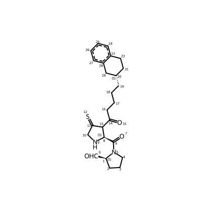 O=C[C@@H]1CCCN1C(=O)[C@H]1NCC(=S)C1C(=O)CCCC[C@H]1CCc2ccccc2C1